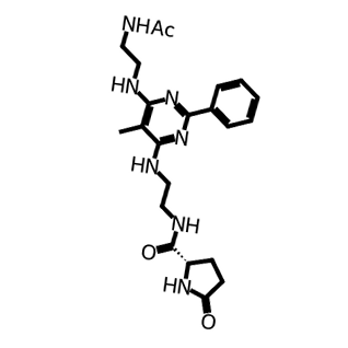 CC(=O)NCCNc1nc(-c2ccccc2)nc(NCCNC(=O)[C@@H]2CCC(=O)N2)c1C